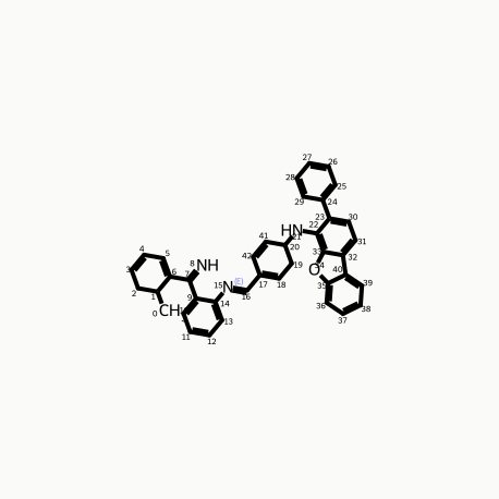 CC1CC=CC=C1C(=N)c1ccccc1/N=C/C1=CCC(Nc2c(-c3ccccc3)ccc3c2oc2ccccc23)C=C1